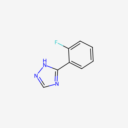 Fc1ccccc1-c1ncn[nH]1